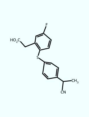 CC(C#N)c1ccc(Sc2ccc(F)cc2CC(=O)O)cc1